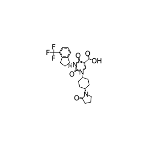 O=C(O)c1cn([C@H]2CC[C@H](N3CCCC3=O)CC2)c(=O)n([C@@H]2CCc3c2cccc3C(F)(F)F)c1=O